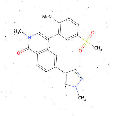 CNc1ccc(S(C)(=O)=O)cc1-c1cn(C)c(=O)c2ccc(-c3cnn(C)c3)cc12